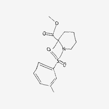 COC(=O)C1(C)CCCCN1S(=O)(=O)c1cccc(C)c1